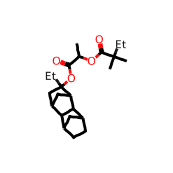 CCC(C)(C)C(=O)OC(C)C(=O)OC1(CC)CC2CC1C1C3CCC(C3)C21